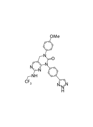 COc1ccc(N2Cc3cnc(NCC(F)(F)F)nc3N(c3ccc(-c4cn[nH]n4)cc3)C2=O)cc1